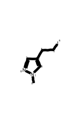 Cn1cc(CCI)cn1